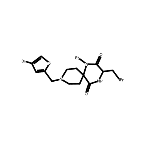 CCN1C(=O)C(CC(C)C)NC(=O)C12CCN(Cc1cc(Br)cs1)CC2